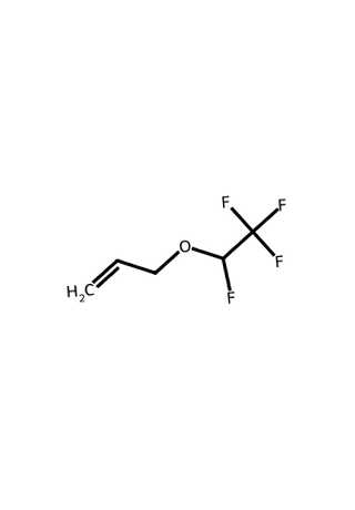 C=CCOC(F)C(F)(F)F